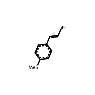 CSc1ccc(/C=C/C(C)C)cc1